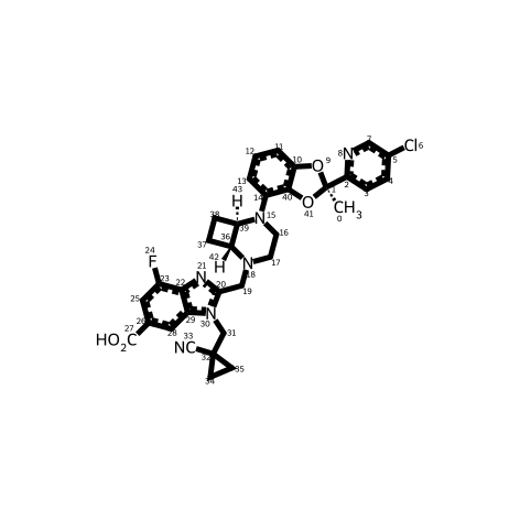 C[C@@]1(c2ccc(Cl)cn2)Oc2cccc(N3CCN(Cc4nc5c(F)cc(C(=O)O)cc5n4CC4(C#N)CC4)[C@@H]4CC[C@H]43)c2O1